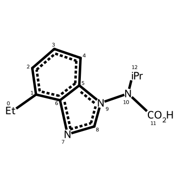 CCc1cccc2c1ncn2N(C(=O)O)C(C)C